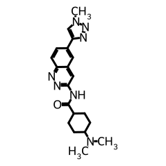 CN(C)C1CCC(C(=O)Nc2cc3cc(-c4cn(C)nn4)ccc3nn2)CC1